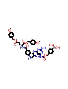 COc1ccc(COC(=O)CC[C@H](NC(=O)c2ccc(N(C)Cc3cnc4nc(N)nc(NC(=O)OCc5ccc(B(O)O)cc5)c4n3)cc2)C(=O)OCc2ccc(OC)cc2)cc1